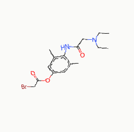 CCN(CC)CC(=O)Nc1c(C)cc(OC(=O)CBr)cc1C